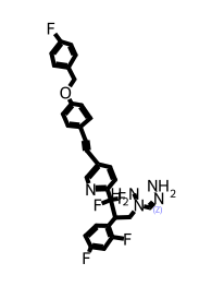 N/N=C\N(N)CC(c1ccc(F)cc1F)C(F)(F)c1ccc(C#Cc2ccc(OCc3ccc(F)cc3)cc2)cn1